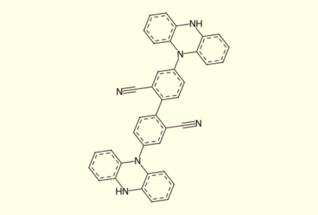 N#Cc1cc(N2c3ccccc3Nc3ccccc32)ccc1-c1ccc(N2c3ccccc3Nc3ccccc32)cc1C#N